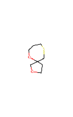 C1COC2(CCOC2)CSC1